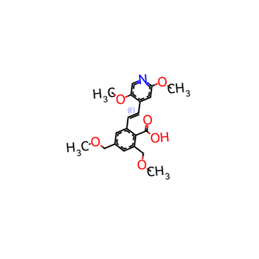 COCc1cc(/C=C/c2cc(OC)ncc2OC)c(C(=O)O)c(COC)c1